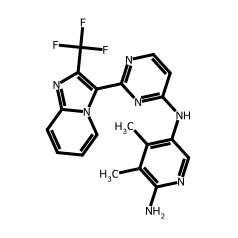 Cc1c(Nc2ccnc(-c3c(C(F)(F)F)nc4ccccn34)n2)cnc(N)c1C